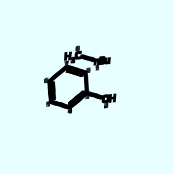 CCCCC.Oc1ccccc1